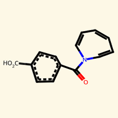 O=C(O)c1ccc(C(=O)N2C=CC=CC=C2)cc1